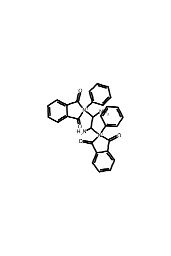 NC(C(N)[N+]1(c2ccccc2)C(=O)c2ccccc2C1=O)[N+]1(c2ccccc2)C(=O)c2ccccc2C1=O